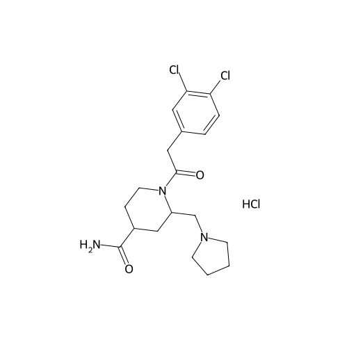 Cl.NC(=O)C1CCN(C(=O)Cc2ccc(Cl)c(Cl)c2)C(CN2CCCC2)C1